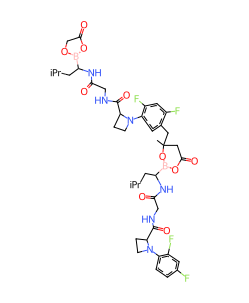 CC(C)CC(NC(=O)CNC(=O)C1CCN1c1cc(CC2(C)CC(=O)OB(C(CC(C)C)NC(=O)CNC(=O)C3CCN3c3ccc(F)cc3F)O2)c(F)cc1F)B1OCC(=O)O1